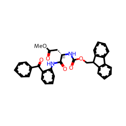 COC(=O)C[C@H](NC(=O)OCC1c2ccccc2-c2ccccc21)C(=O)Nc1ccccc1C(=O)c1ccccc1